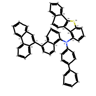 c1ccc(-c2ccc(N(c3cccc4c(-c5cc6ccccc6c6ccccc56)cccc34)c3cccc4sc5c6ccccc6ccc5c34)cc2)cc1